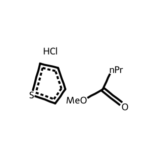 CCCC(=O)OC.Cl.c1ccsc1